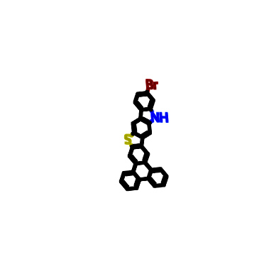 Brc1ccc2c(c1)[nH]c1cc3c(cc12)sc1cc2c4ccccc4c4ccccc4c2cc13